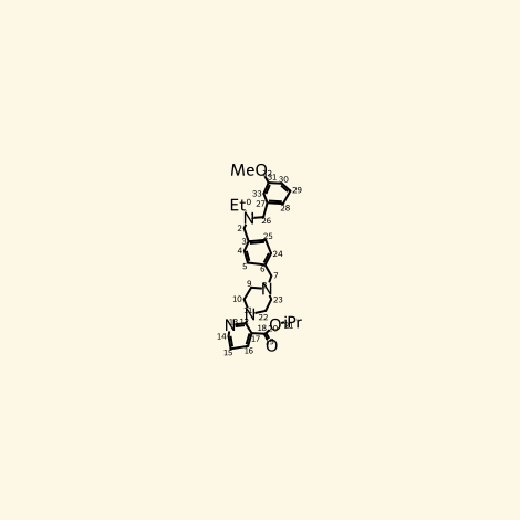 CCN(Cc1ccc(CN2CCN(c3ncccc3C(=O)OC(C)C)CC2)cc1)Cc1cccc(OC)c1